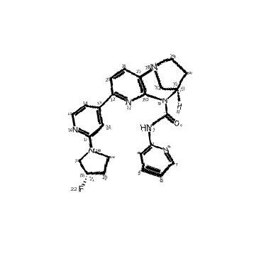 O=C(Nc1ccccn1)N1c2nc(-c3ccnc(N4CC[C@H](F)C4)c3)ccc2N2CC[C@H]1C2